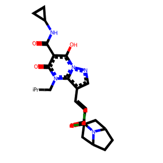 CC(C)Cn1c(=O)c(C(=O)NC2CC2)c(O)n2ncc(/C=C/C(=O)N3C4CCC3CC(F)(F)C4)c12